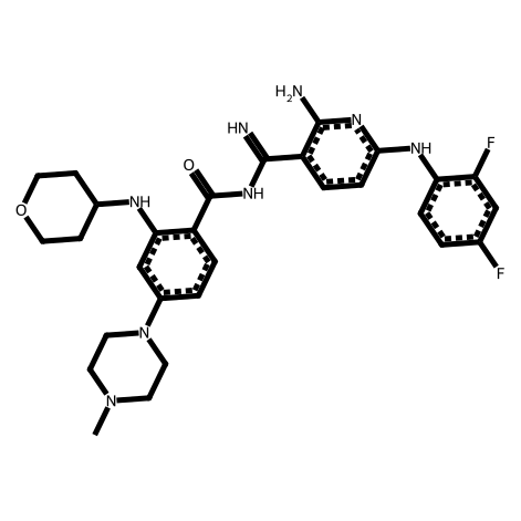 CN1CCN(c2ccc(C(=O)NC(=N)c3ccc(Nc4ccc(F)cc4F)nc3N)c(NC3CCOCC3)c2)CC1